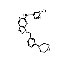 [CH2][CH]n1cc(Nc2ncc3cnn(Cc4cccc(N5CCOCC5)c4)c3n2)cn1